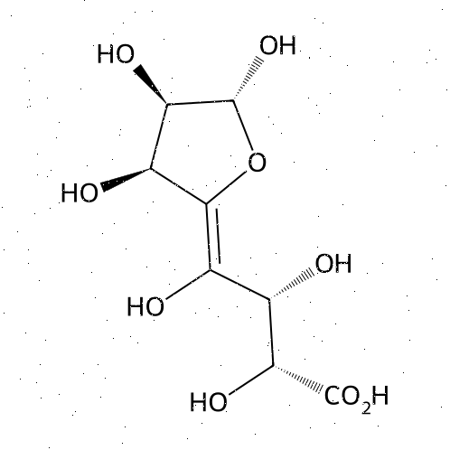 O=C(O)[C@H](O)[C@@H](O)/C(O)=C1\O[C@@H](O)[C@H](O)[C@@H]1O